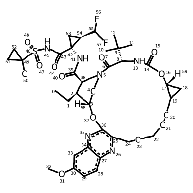 CC[C@@H]1[C@@H]2CN(C(=O)[C@H](C(C)(C)C)NC(=O)O[C@@H]3CC3CCCCCc3nc4ccc(OC)cc4nc3O2)[C@@H]1C(=O)N[C@]1(C(=O)NS(=O)(=O)C2(Cl)CC2)C[C@H]1C(F)F